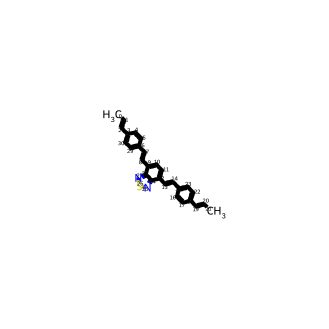 C/C=C/c1ccc(/C=C/c2ccc(/C=C/c3ccc(/C=C/C)cc3)c3nsnc23)cc1